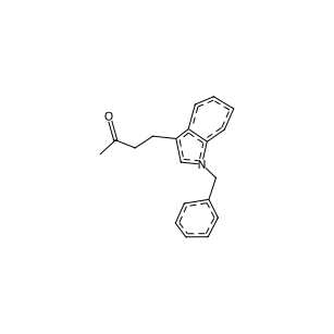 CC(=O)CCc1cn(Cc2ccccc2)c2ccccc12